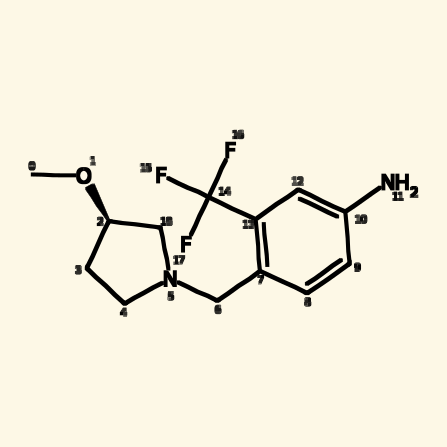 CO[C@@H]1CCN(Cc2ccc(N)cc2C(F)(F)F)C1